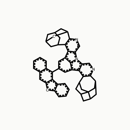 c1ccc2c(-c3cc4c5c6c(ncc5n5c7cnc8c(c7c(c3)c45)C3CC4CC5CC8CC54C3)C3CC4CC(C3)CC6C4)c3c(cc2c1)oc1ccccc13